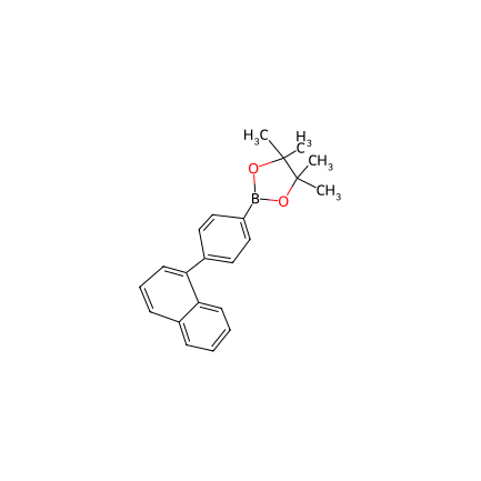 CC1(C)OB(c2ccc(-c3cccc4ccccc34)cc2)OC1(C)C